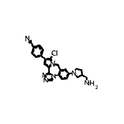 N#Cc1ccc(-c2cc3n(c2Cl)Cc2cc(N4CCC(CN)C4)ccc2-n2cnnc2-3)cc1